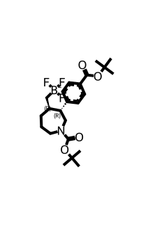 CC(C)(C)OC(=O)c1ccc([C@@H]2CN(C(=O)OC(C)(C)C)CCC[C@H]2C[B-](F)(F)F)cc1